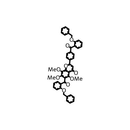 COc1c(C(=O)c2ccccc2OCc2ccccc2)c(OC)c2c(=O)cc(-c3ccc(C(=O)c4ccccc4OCc4ccccc4)cc3)oc2c1OC